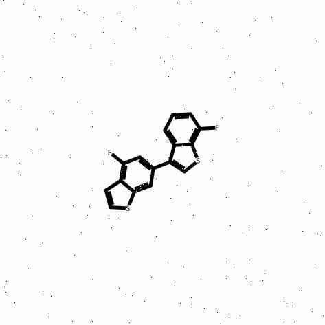 Fc1cc(-c2csc3c(F)cccc23)cc2sccc12